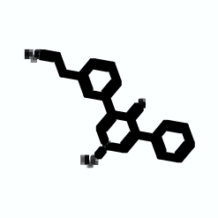 C=CCc1cccc(-c2cn(C)cc(-c3ccccc3)c2=S)c1